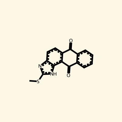 CSc1nc2ccc3c(c2[nH]1)C(=O)c1ccccc1C3=O